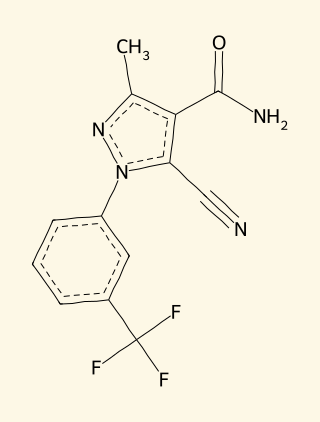 Cc1nn(-c2cccc(C(F)(F)F)c2)c(C#N)c1C(N)=O